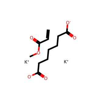 C=CC(=O)OC.O=C([O-])CCCCCC(=O)[O-].[K+].[K+]